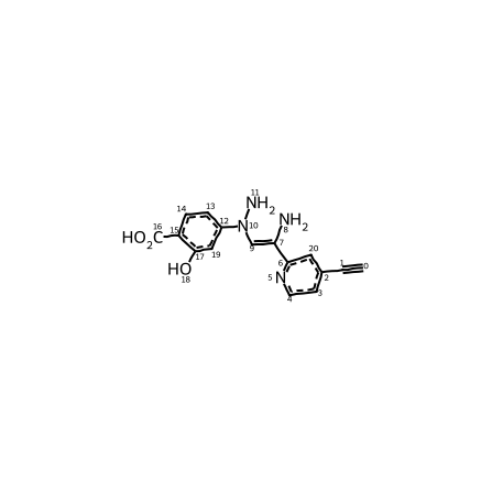 C#Cc1ccnc(/C(N)=C/N(N)c2ccc(C(=O)O)c(O)c2)c1